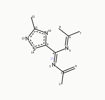 C=C(C)/N=C(\N=C(C)C)c1nc(C)ns1